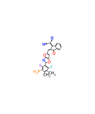 Cc1c(C)c(P)c(I)c(-c2nc3oc(/C=C4\C(=O)c5ccccc5C4=C(C#N)C#N)cc3o2)c1F